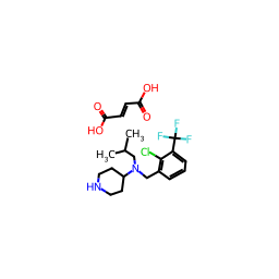 CC(C)CN(Cc1cccc(C(F)(F)F)c1Cl)C1CCNCC1.O=C(O)C=CC(=O)O